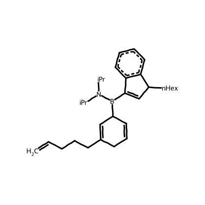 C=CCCCC1=CC(B(C2=CC(CCCCCC)c3ccccc32)N(C(C)C)C(C)C)C=CC1